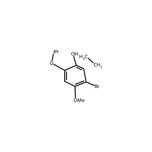 CC.COc1cc(OC(C)C)c(O)cc1Br